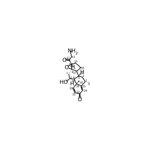 C[C@H]1C[C@@H]2[C@H]([C@@H](O)C[C@]34O[C@]3(C(=O)CN)CC[C@@H]24)[C@@]2(C)C=CC(=O)C=C12